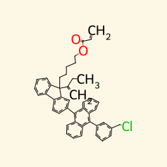 C=CC(=O)OCCCCCC1(C(=C)CC)c2ccccc2-c2ccc(-c3c4ccccc4c(-c4cccc(CCl)c4)c4ccccc34)cc21